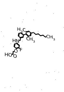 CCCCCCCc1cc(C)c(-c2cccc(CNc3ccc(OCC(=O)O)c(F)c3)c2)c(C)c1